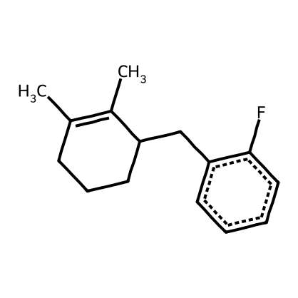 CC1=C(C)C(Cc2ccccc2F)CCC1